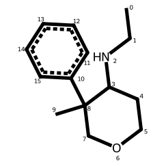 CCNC1CCOCC1(C)c1ccccc1